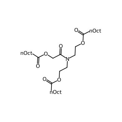 CCCCCCCCC(=O)OCCN(CCOC(=O)CCCCCCCC)C(=O)COC(=O)CCCCCCCC